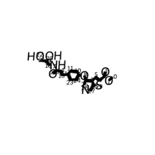 COC(=O)c1cc2c(Oc3ccc(C=CC(=O)NCC(O)CO)cc3)cncc2s1